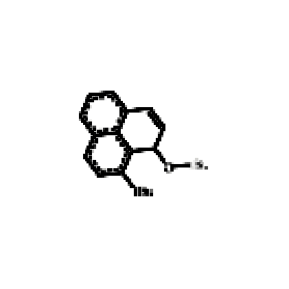 CC(C)(C)OC1C=Cc2cccc3ccc(C(C)(C)C)c1c23